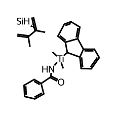 C=C(C)C(=C)C.[CH3][Ti]([CH3])([NH]C(=O)c1ccccc1)[CH]1c2ccccc2-c2ccccc21.[SiH4]